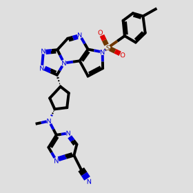 Cc1ccc(S(=O)(=O)n2ccc3c2ncc2nnc([C@@H]4CC[C@H](N(C)c5cnc(C#N)cn5)C4)n23)cc1